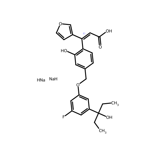 CCC(O)(CC)c1cc(F)cc(OCc2ccc(/C(=C\C(=O)O)c3ccoc3)c(O)c2)c1.[NaH].[NaH]